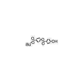 CCC(C)COC(=O)c1ccc(OC(=O)c2ccc(O)cc2)cc1